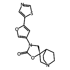 O=C1O[C@]2(CN3CCC2CC3)CN1c1coc(-c2cncs2)c1